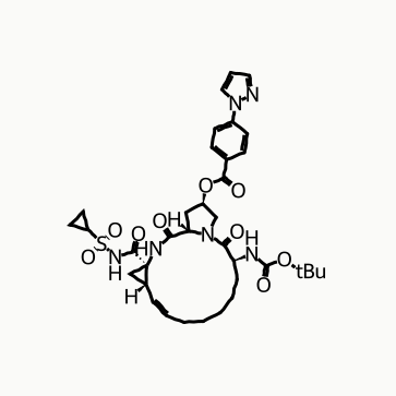 CC(C)(C)OC(=O)N[C@H]1CCCCC/C=C\[C@@H]2C[C@@]2(C(=O)NS(=O)(=O)C2CC2)NC(=O)[C@@H]2C[C@@H](OC(=O)c3ccc(-n4cccn4)cc3)CN2C1=O